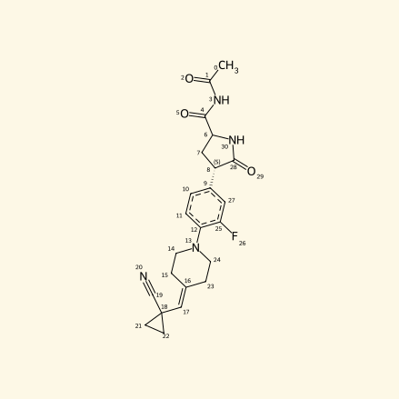 CC(=O)NC(=O)C1C[C@@H](c2ccc(N3CCC(=CC4(C#N)CC4)CC3)c(F)c2)C(=O)N1